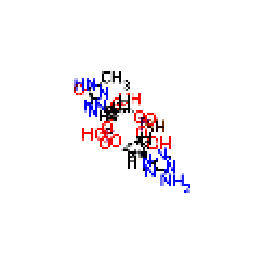 Cc1nc2c(nnn2[C@@H]2O[C@@H]3COP(=O)(S)O[C@H]4[C@@H](O)[C@H](n5cnc6c(N)ncnc65)[C@H]5CC54COP(=O)(O)O[C@@H]2[C@@H]3CO)c(=O)[nH]1